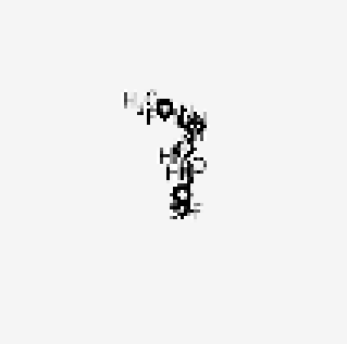 Cc1ccc(-n2cc3c(N4CCN[C@H](C(=O)NCc5ccc6scc(F)c6c5)C4)ncnc3n2)cc1F